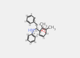 CC1=C(C)C2([C@H](Cc3ccccc3)Nc3ccccc3)C=CC1O2